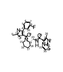 Cc1nc(-c2cccc(F)c2)c(C(=O)N2CCCC[C@H]2CNC(=O)c2c(C)nc3sccn23)s1